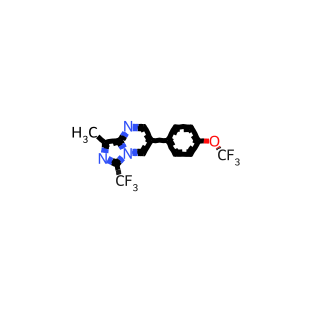 Cc1nc(C(F)(F)F)n2cc(-c3ccc(OC(F)(F)F)cc3)cnc12